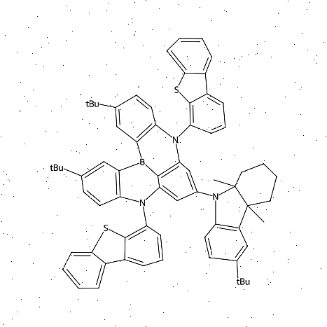 CC(C)(C)c1ccc2c(c1)B1c3cc(C(C)(C)C)ccc3N(c3cccc4c3sc3ccccc34)c3cc(N4c5ccc(C(C)(C)C)cc5C5(C)CCCCC45C)cc(c31)N2c1cccc2c1sc1ccccc12